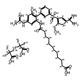 CSc1sc(C(=N)N)cc1S(=O)(=O)c1cccc(-c2c(C)cc(NC(=N)N)cc2NC(=O)CCCCCCCCCCC(=O)O)c1.O=C(O)C(F)(F)F.O=C(O)C(F)(F)F